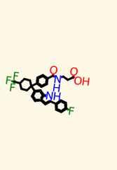 O=C(O)CCNC(=O)c1ccc(C2(c3ccc4cc(-c5ccc(F)cc5)[nH]c4c3)CCC(C(F)(F)F)CC2)cc1